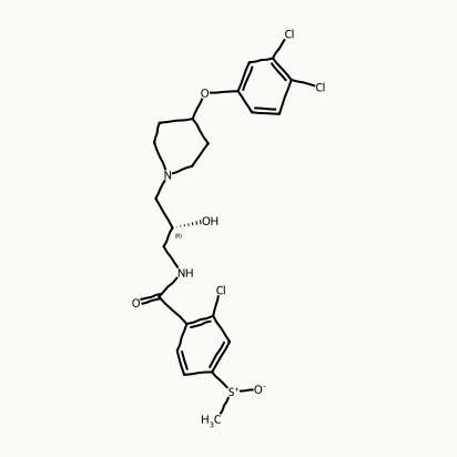 C[S+]([O-])c1ccc(C(=O)NC[C@@H](O)CN2CCC(Oc3ccc(Cl)c(Cl)c3)CC2)c(Cl)c1